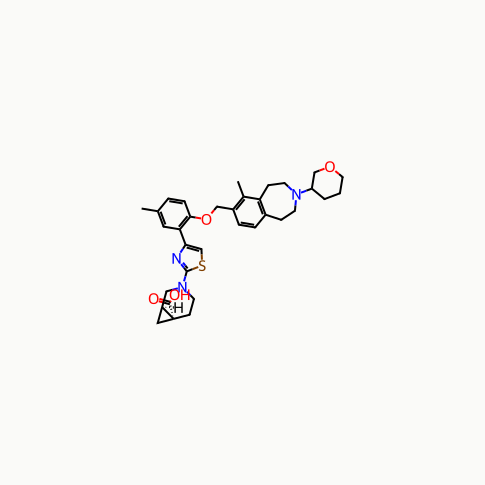 Cc1ccc(OCc2ccc3c(c2C)CCN(C2CCCOC2)CC3)c(-c2csc(N3CC[C@@]4(C(=O)O)C[C@H]4C3)n2)c1